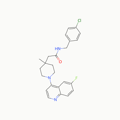 CC1(CC(=O)NCc2ccc(Cl)cc2)CCN(c2ccnc3ccc(F)cc23)CC1